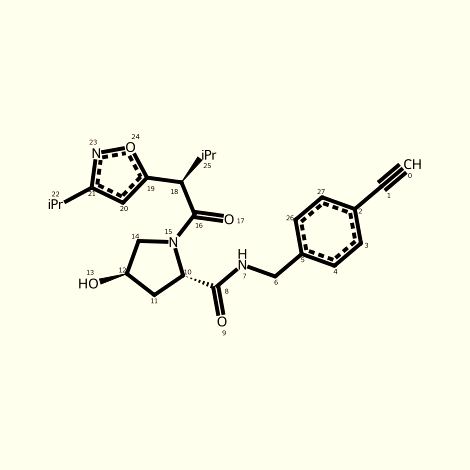 C#Cc1ccc(CNC(=O)[C@@H]2C[C@@H](O)CN2C(=O)[C@@H](c2cc(C(C)C)no2)C(C)C)cc1